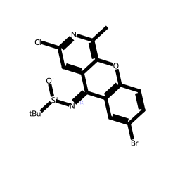 Cc1nc(Cl)cc2/c(=N\[S+]([O-])C(C)(C)C)c3cc(Br)ccc3oc12